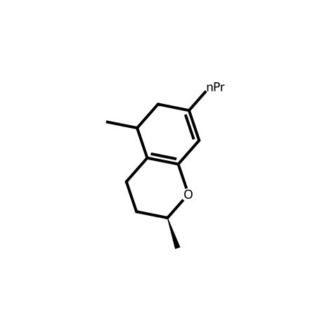 CCCC1=CC2=C(CC[C@H](C)O2)C(C)C1